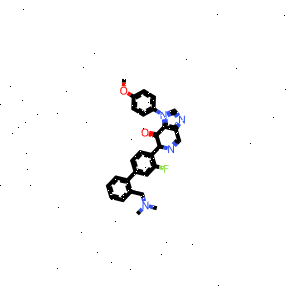 COc1ccc(-n2cnc3c2C(=O)C(c2ccc(-c4ccccc4CN(C)C)cc2F)N=C3)cc1